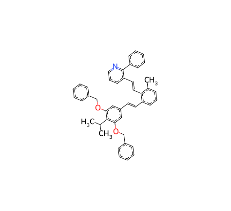 Cc1cccc(C=Cc2cc(OCc3ccccc3)c(C(C)C)c(OCc3ccccc3)c2)c1C=Cc1cccnc1-c1ccccc1